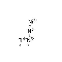 [N-3].[N-3].[Ni+2].[Ti+4]